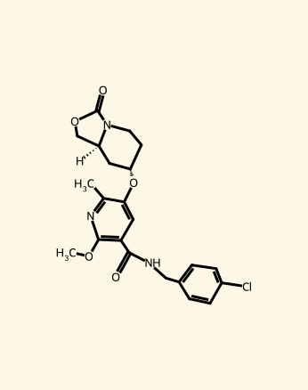 COc1nc(C)c(O[C@H]2CCN3C(=O)OC[C@@H]3C2)cc1C(=O)NCc1ccc(Cl)cc1